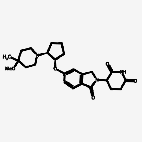 COC1(C)CCN([C@H]2CCC[C@H]2Oc2ccc3c(c2)CN(C2CCC(=O)NC2=O)C3=O)CC1